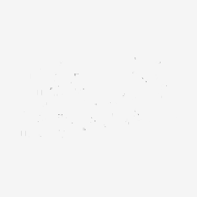 CC(O)c1cc2ccccn2c1-c1ccc(CN(CCO[Si](C)(C)C(C)(C)C)CCO[Si](C)(C)C(C)(C)C)cn1